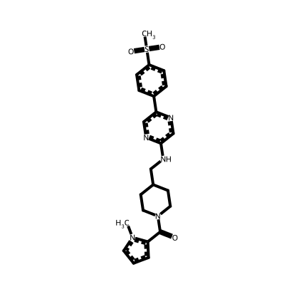 Cn1cccc1C(=O)N1CCC(CNc2cnc(-c3ccc(S(C)(=O)=O)cc3)cn2)CC1